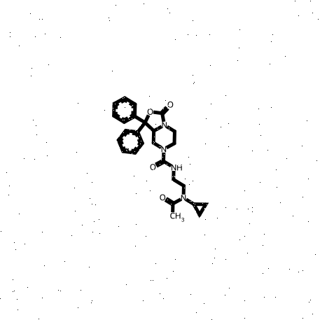 CC(=O)N(CCNC(=O)N1CCN2C(=O)OC(c3ccccc3)(c3ccccc3)C2C1)C1CC1